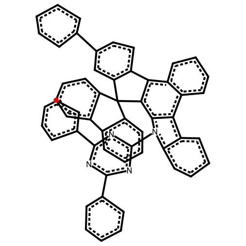 c1ccc(-c2ccc3c(c2)C2(c4ccccc4-c4ccccc42)c2c-3c3ccccc3c3c4ccccc4n(-c4nc(-c5ccccc5)nc(-c5ccccc5)n4)c23)cc1